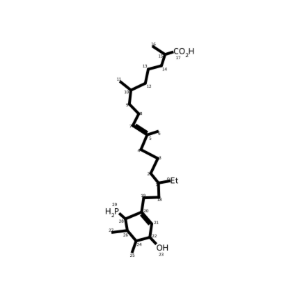 CCC(CCC/C(C)=C/CCC(C)CCCC(C)C(=O)O)CCC1=CC(O)C(C)C(C)C1P